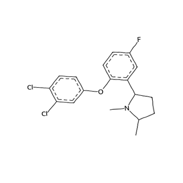 CC1CCC(c2cc(F)ccc2Oc2ccc(Cl)c(Cl)c2)N1C